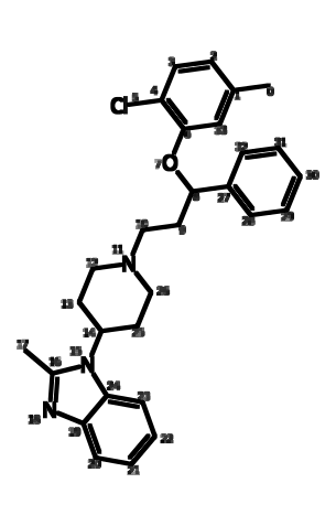 Cc1ccc(Cl)c(OC(CCN2CCC(n3c(C)nc4ccccc43)CC2)c2ccccc2)c1